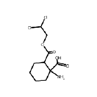 NC1(C(=O)O)CCCCC1C(=O)OCC(Cl)Cl